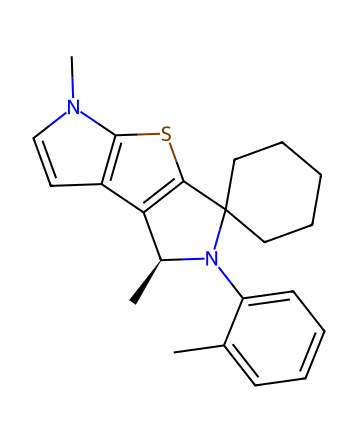 Cc1ccccc1N1[C@@H](C)c2c(sc3c2ccn3C)C12CCCCC2